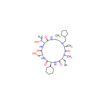 CC(C)C[C@H]1C(=O)N[C@@H](C2CCCCC2)C(=O)N[C@@H](CO)C(=O)N[C@@H]([C@H](C)O)C(=O)N[C@H](C)CN(CC2CCCC2)[C@@H](C)C(=O)N1C